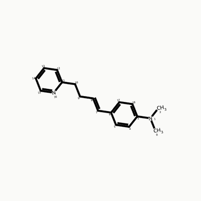 CN(C)c1ccc(/C=C/CCc2ccccn2)cc1